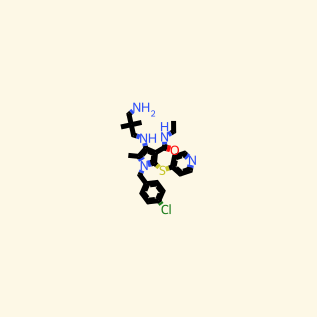 CCNC(=O)c1c(NCC(C)(C)CN)c(C)n(Cc2ccc(Cl)cc2)c1Sc1ccncc1